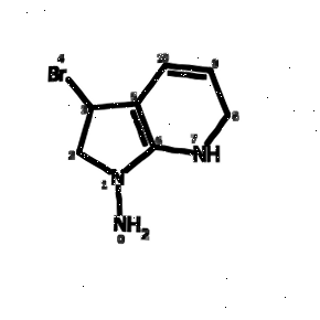 NN1CC(Br)C2=C1NCC=C2